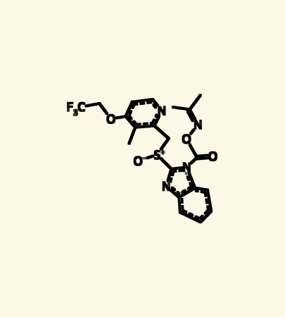 CC(C)=NOC(=O)n1c([S+]([O-])Cc2nccc(OCC(F)(F)F)c2C)nc2ccccc21